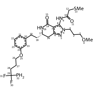 COCCCn1nc2c(c1NC(=O)CSC)C(=O)N[C@@H](CCc1cccc(OCCCC(F)(F)P)c1)C2